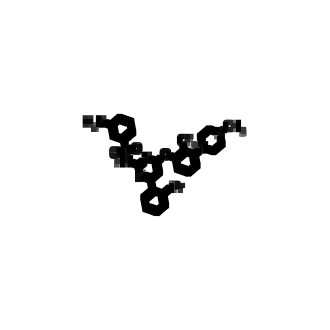 CC(C)c1ccccc1-c1cc(Oc2cccc(N3CCN(C)CC3)c2C(F)(F)F)nc(NS(=O)(=O)c2cccc(N)c2)n1